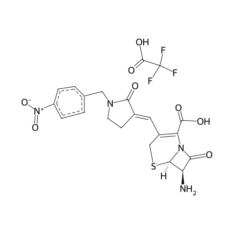 N[C@@H]1C(=O)N2C(C(=O)O)=C(C=C3CCN(Cc4ccc([N+](=O)[O-])cc4)C3=O)CS[C@H]12.O=C(O)C(F)(F)F